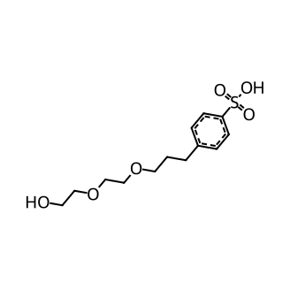 O=S(=O)(O)c1ccc(CCCOCCOCCO)cc1